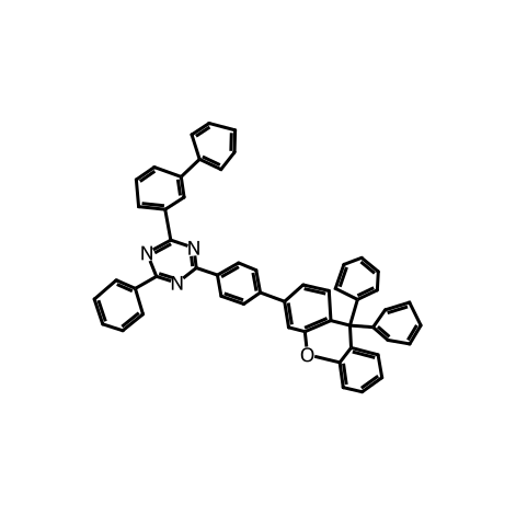 c1ccc(-c2cccc(-c3nc(-c4ccccc4)nc(-c4ccc(-c5ccc6c(c5)Oc5ccccc5C6(c5ccccc5)c5ccccc5)cc4)n3)c2)cc1